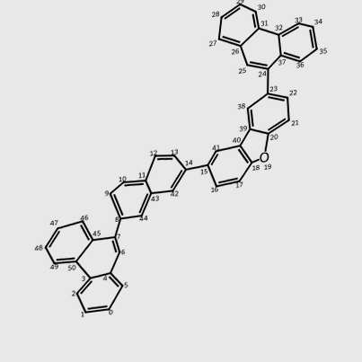 c1ccc2c(c1)cc(-c1ccc3ccc(-c4ccc5oc6ccc(-c7cc8ccccc8c8ccccc78)cc6c5c4)cc3c1)c1ccccc12